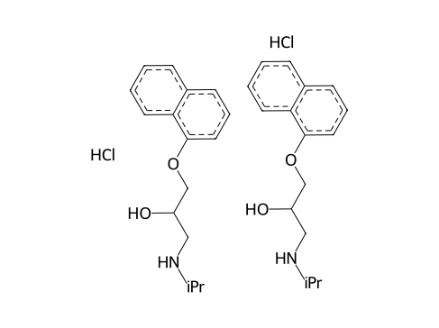 CC(C)NCC(O)COc1cccc2ccccc12.CC(C)NCC(O)COc1cccc2ccccc12.Cl.Cl